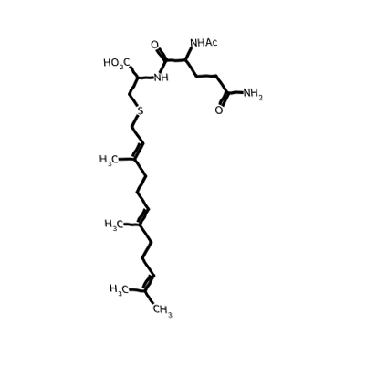 CC(=O)NC(CCC(N)=O)C(=O)NC(CSC/C=C(\C)CC/C=C(\C)CCC=C(C)C)C(=O)O